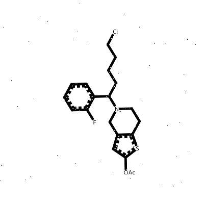 CC(=O)Oc1cc2c(s1)CCN(C(CCCCCl)c1ccccc1F)C2